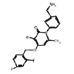 Cc1cc(OCc2ccc(F)cc2F)c(Br)c(=O)n1-c1cccc(CN)c1